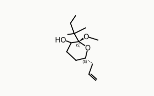 C=CC[C@@H]1CCC(O)[C@](OC)(C(C)(C)CC)O1